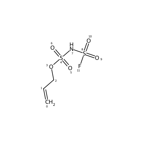 C=CCOS(=O)(=O)NS(=O)(=O)F